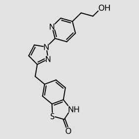 O=c1[nH]c2ccc(Cc3ccn(-c4ccc(CCO)cn4)n3)cc2s1